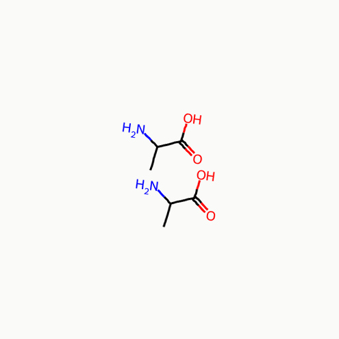 CC(N)C(=O)O.CC(N)C(=O)O